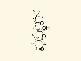 CC(C)(C)OC(=O)C[C@@H](CC1CCOCC1)C(=O)O